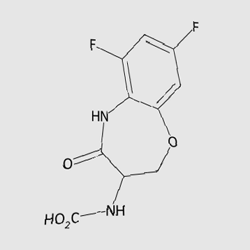 O=C(O)NC1COc2cc(F)cc(F)c2NC1=O